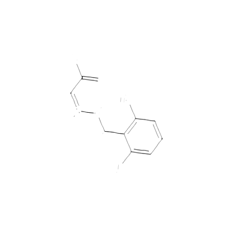 O=C(O)/C=N\OCc1c(O)cccc1F